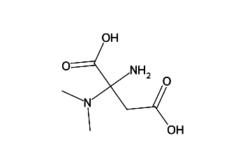 CN(C)C(N)(CC(=O)O)C(=O)O